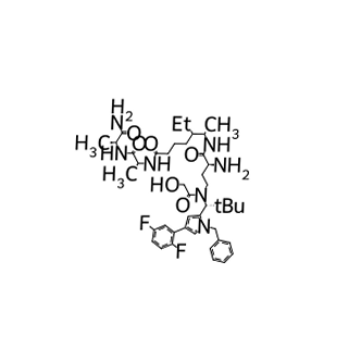 CCC(CCCC(=O)N[C@@H](C)C(=O)N[C@@H](C)C(N)=O)C(C)NC(=O)[C@@H](N)CCN(C(=O)CO)[C@@H](c1cc(-c2cc(F)ccc2F)cn1Cc1ccccc1)C(C)(C)C